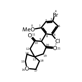 COc1cc(Br)cc(Cl)c1C1C(=O)CC2(CCOCC2)CC1=O